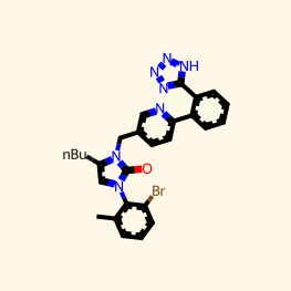 CCCCc1cn(-c2c(C)cccc2Br)c(=O)n1Cc1ccc(-c2ccccc2-c2nnn[nH]2)nc1